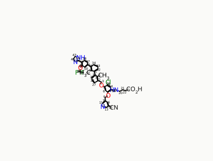 Cc1c(COc2cc(OCc3cncc(C#N)c3)c(CNCCCC(=O)O)cc2Cl)cccc1-c1cccc(-c2ccc(C3=NCCN3)c(OC(F)F)c2)c1C